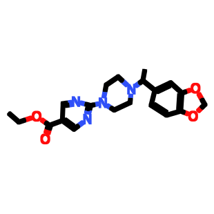 CCOC(=O)c1cnc(N2CCN(C(C)c3ccc4c(c3)OCO4)CC2)nc1